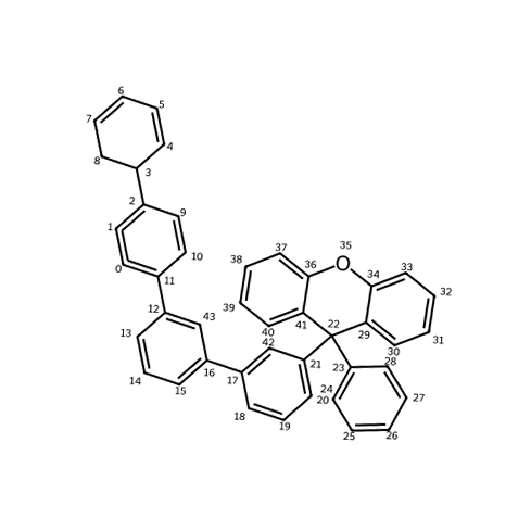 C1=C=C(C2C=CC=CC2)C=CC=1c1cccc(-c2cccc(C3(c4ccccc4)c4ccccc4Oc4ccccc43)c2)c1